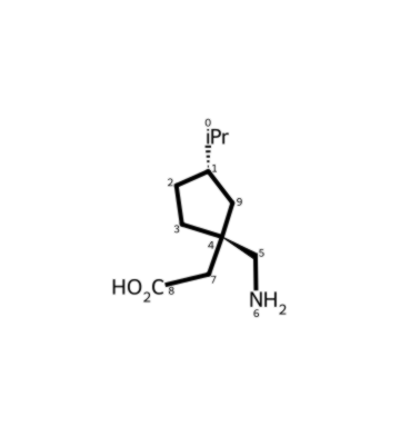 CC(C)[C@H]1CC[C@@](CN)(CC(=O)O)C1